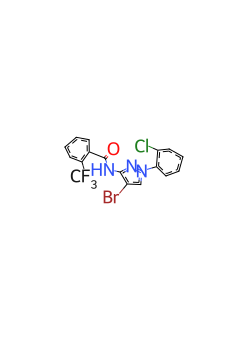 O=C(Nc1nn(-c2ccccc2Cl)cc1Br)c1ccccc1C(F)(F)F